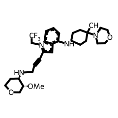 CO[C@@H]1COCC[C@H]1NCC#Cc1cc2c(NC3CCC(C)(N4CCOCC4)CC3)cccc2n1CC(F)(F)F